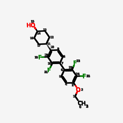 CCOc1ccc(-c2ccc([C@H]3CC[C@H](O)CC3)c(F)c2F)c(F)c1F